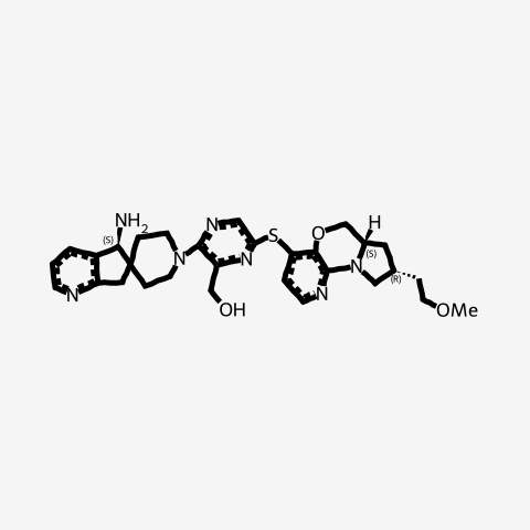 COCC[C@H]1C[C@H]2COc3c(Sc4cnc(N5CCC6(CC5)Cc5ncccc5[C@H]6N)c(CO)n4)ccnc3N2C1